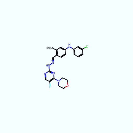 COc1cc(Nc2cccc(Cl)c2)ccc1/C=N/Nc1ncc(F)c(N2CCOCC2)n1